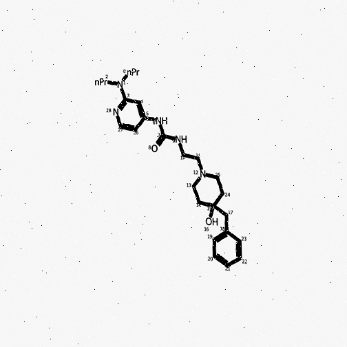 CCCN(CCC)c1cc(NC(=O)NCCN2CCC(O)(Cc3ccccc3)CC2)ccn1